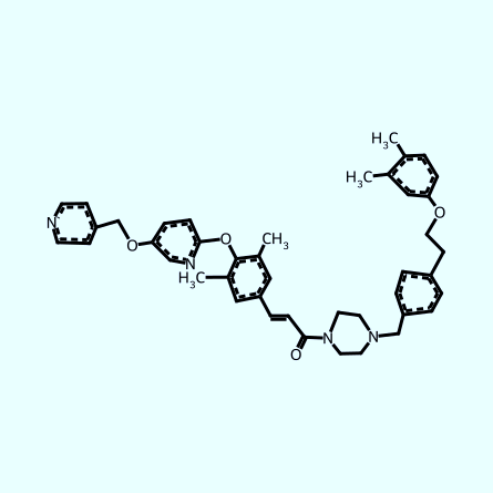 Cc1ccc(OCCc2ccc(CN3CCN(C(=O)C=Cc4cc(C)c(Oc5ccc(OCc6ccncc6)cn5)c(C)c4)CC3)cc2)cc1C